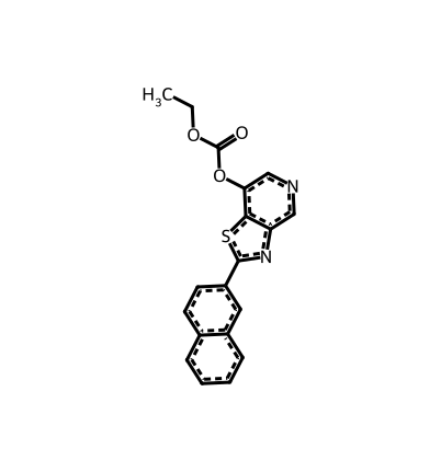 CCOC(=O)Oc1cncc2nc(-c3ccc4ccccc4c3)sc12